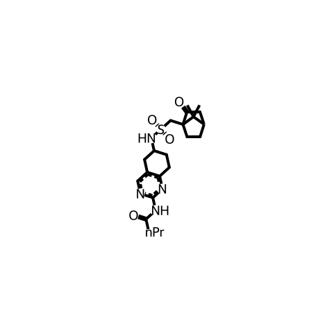 CCCC(=O)Nc1ncc2c(n1)CCC(NS(=O)(=O)CC13CCC(CC1=O)C3(C)C)C2